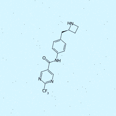 O=C(Nc1ccc(C[C@@H]2CCN2)cc1)c1cnc(C(F)(F)F)nc1